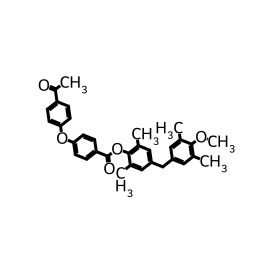 COc1c(C)cc(Cc2cc(C)c(OC(=O)c3ccc(Oc4ccc(C(C)=O)cc4)cc3)c(C)c2)cc1C